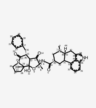 CN1C[C@H](C(=O)N[C@]2(C)OC3(O)C(C2=O)[C@@H](Cc2ccccc2)C(=O)N2CCC[C@H]23)CC2c3cccc4[nH]cc(c34)C[C@H]21